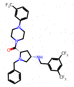 O=C([C@@H]1C[C@H](NCc2cc(C(F)(F)F)cc(C(F)(F)F)c2)CN1Cc1ccccc1)N1CCN(c2cccc(C(F)(F)F)c2)CC1